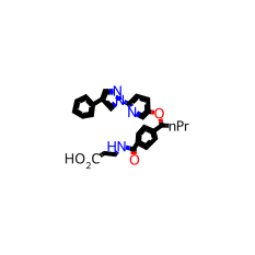 CCCC(Oc1ccc(-n2cc(-c3ccccc3)cn2)nc1)c1ccc(C(=O)NCCC(=O)O)cc1